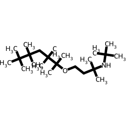 CC(C)(C)NC(C)(C)CCOC(C)(C)C(C)(C)CC(C)(C)C(C)(C)C